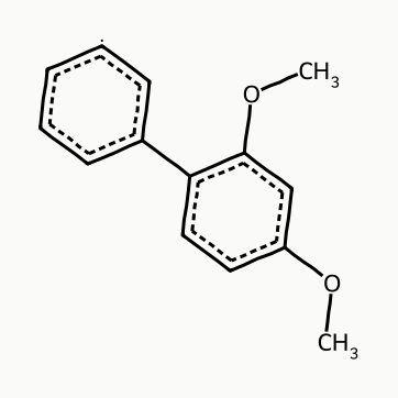 COc1ccc(-c2c[c]ccc2)c(OC)c1